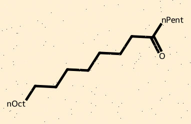 CCCCCCCCCCCCCCCC(=O)CCCCC